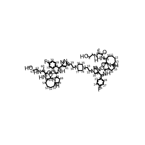 C[C@H](NCCO)C(=O)N[C@H]1CCCC[C@H]2CC[C@@H](C(=O)N[C@@H](c3ccc(F)cc3)c3cn(CCN4CCN(CCn5cc([C@@H](NC(=O)[C@@H]6CC[C@@H]7CCCC[C@H](NC(=O)[C@H](C)NCCO)C(=O)N76)c6ccc(F)cc6)nn5)CC4)nn3)N2C1=O